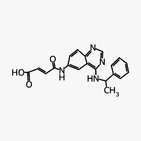 CC(Nc1ncnc2ccc(NC(=O)C=CC(=O)O)cc12)c1ccccc1